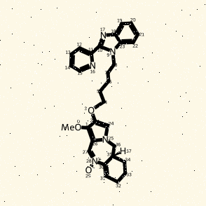 COc1c(OCCCCCn2c(-c3ccccn3)nc3ccccc32)cn2c1C=[N+]([O-])C1=CCCC[C@H]1C2